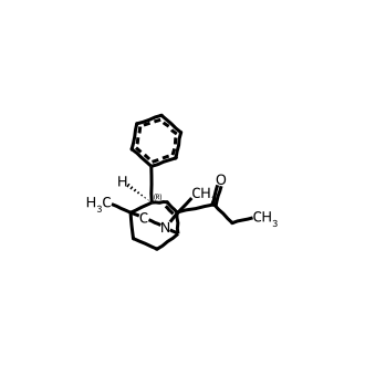 CCC(=O)C1=C[C@H](c2ccccc2)C2(C)CCC1N(C)C2